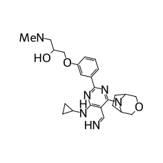 CNCC(O)COc1cccc(-c2nc(NC3CC3)c(C=N)c(N3C4CCC3COC4)n2)c1